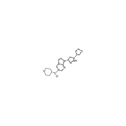 [O-][S+](c1cnc2c(ccn2-c2cc(-c3ccsc3)[nH]n2)c1)C1CCOCC1